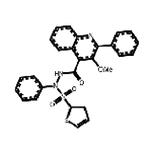 COc1c(-c2ccccc2)nc2ccccc2c1C(=O)NN(c1ccccc1)S(=O)(=O)C1CC=CS1